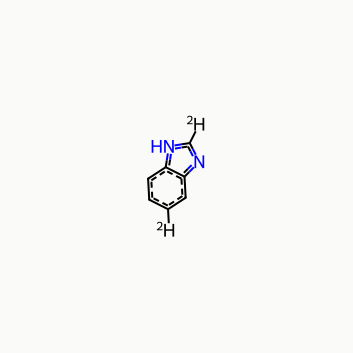 [2H]c1ccc2[nH]c([2H])nc2c1